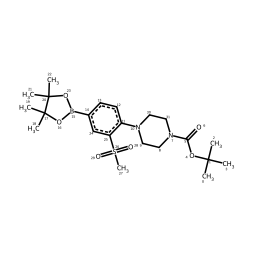 CC(C)(C)OC(=O)N1CCN(c2ccc(B3OC(C)(C)C(C)(C)O3)cc2S(C)(=O)=O)CC1